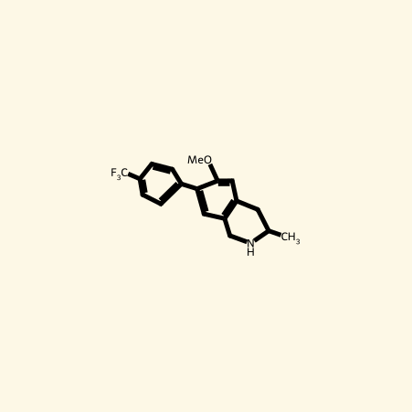 COc1cc2c(cc1-c1ccc(C(F)(F)F)cc1)CNC(C)C2